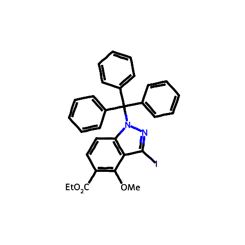 CCOC(=O)c1ccc2c(c(I)nn2C(c2ccccc2)(c2ccccc2)c2ccccc2)c1OC